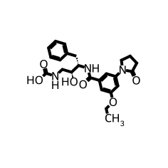 CCOc1cc(C(=O)N[C@@H](Cc2ccccc2)[C@H](O)CNC(=O)O)cc(N2CCCC2=O)c1